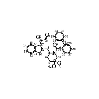 COC1(OC)CCC(CN2Cc3ccccc3C2C(=O)C=O)N(C(=O)c2ccccc2-c2ccccc2)C1